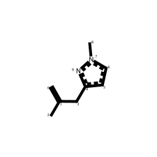 C=C(C)Cc1ccn(C)n1